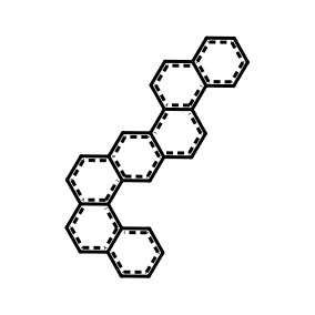 c1ccc2c(c1)ccc1c3cc4ccc5ccc6ccccc6c5c4cc3ccc21